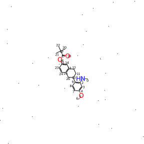 CNc1cc(OC)ccc1C1CCc2cc(OC(=O)C(C)(C)C)ccc2C1